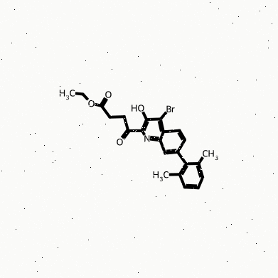 CCOC(=O)CCC(=O)c1nc2cc(-c3c(C)cccc3C)ccc2c(Br)c1O